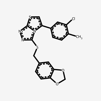 Cc1ccc(-c2csc3nnc(SCc4ccc5c(c4)OCO5)n23)cc1Cl